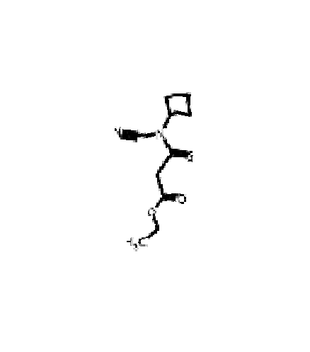 CCOC(=O)CC(=S)N(C#N)C1CCC1